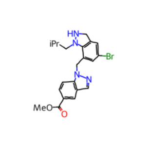 COC(=O)c1ccc2c(cnn2Cc2cc(Br)cc3c2N(CC(C)C)NC3)c1